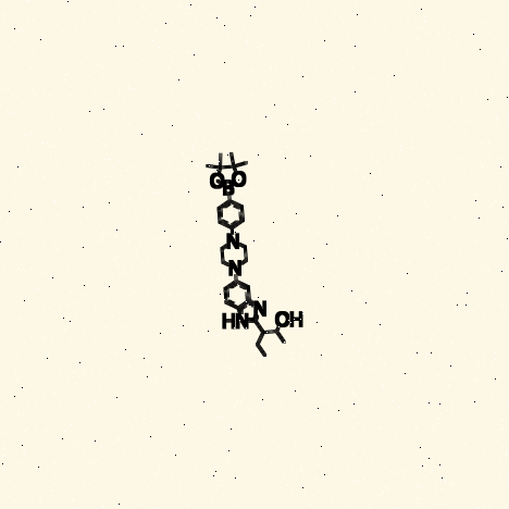 CCC(c1nc2cc(N3CCN(c4ccc(B5OC(C)(C)C(C)(C)O5)cc4)CC3)ccc2[nH]1)C(C)O